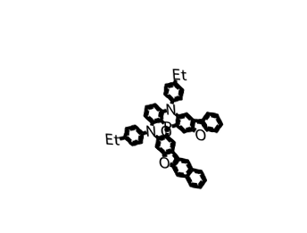 CCc1ccc(N2c3cc4c(cc3P3(=O)c5cc6c(cc5N(c5ccc(CC)cc5)c5cccc2c53)oc2cc3ccccc3cc26)oc2ccccc24)cc1